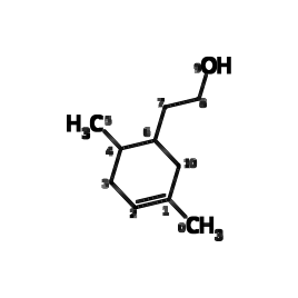 CC1=CCC(C)C(CCO)C1